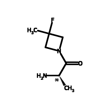 C[C@H](N)C(=O)N1CC(C)(F)C1